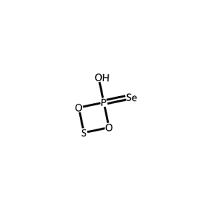 OP1(=[Se])OSO1